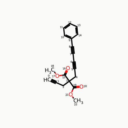 C#CCC(CC#CC#Cc1ccccc1)(C(=O)OC)C(=O)OC